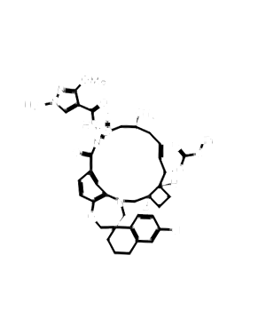 COc1nn(C)cc1C(=O)N[S@@]1(=O)=NC(=O)c2ccc3c(c2)N(C[C@@H]2CC[C@H]2[C@@H](OC(=O)OC(C)C)/C=C/C[C@H](C)C1)C[C@@]1(CCCc2cc(Cl)ccc21)CO3